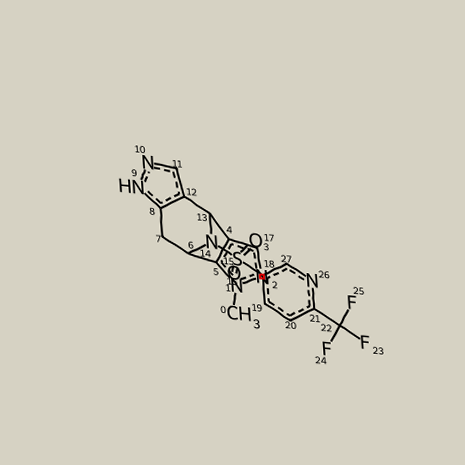 Cn1ncc2c1C1Cc3[nH]ncc3C2N1S(=O)(=O)c1ccc(C(F)(F)F)nc1